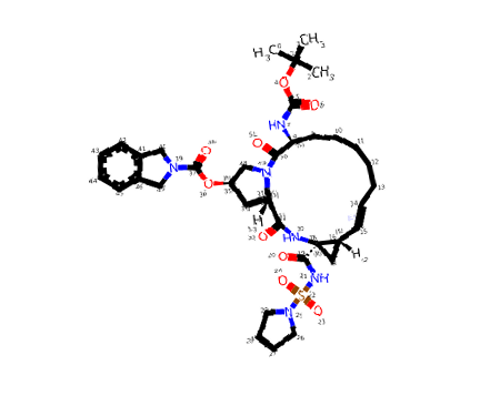 CC(C)(C)OC(=O)N[C@H]1CCCCC/C=C/[C@@H]2C[C@@]2(C(=O)NS(=O)(=O)N2CCCC2)NC(=O)[C@@H]2C[C@@H](OC(=O)N3Cc4ccccc4C3)CN2C1=O